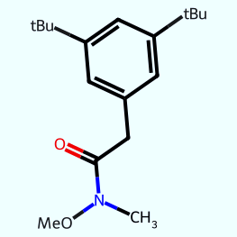 CON(C)C(=O)Cc1cc(C(C)(C)C)cc(C(C)(C)C)c1